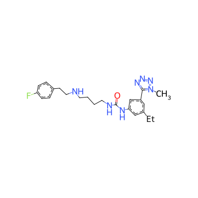 CCc1cc(NC(=O)NCCCCNCCc2ccc(F)cc2)cc(-c2nnnn2C)c1